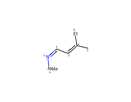 CC/C(C)=C\C=N/NC